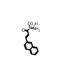 NN(C(=O)O)C(=O)C=Cc1ccc2ccccc2c1